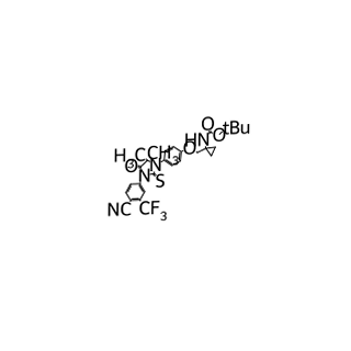 CC(C)(C)OC(=O)NC1(COc2ccc(N3C(=S)N(c4ccc(C#N)c(C(F)(F)F)c4)C(=O)C3(C)C)cc2)CC1